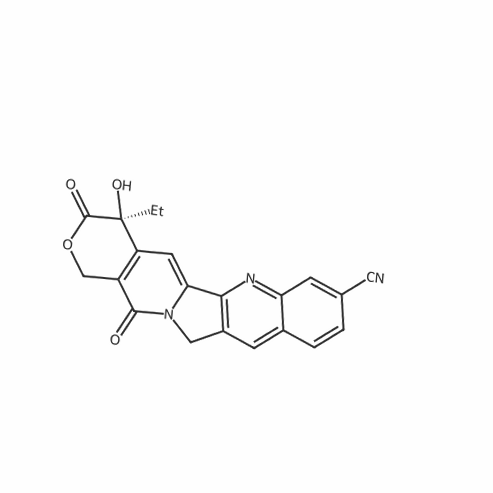 CC[C@@]1(O)C(=O)OCc2c1cc1n(c2=O)Cc2cc3ccc(C#N)cc3nc2-1